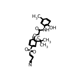 Cc1ccc(O)c(NC(=O)COc2ccc(S(=O)(=O)C=CC#N)cc2C(C)(C)C)c1